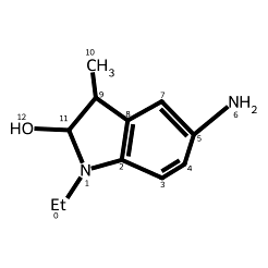 CCN1c2ccc(N)cc2C(C)C1O